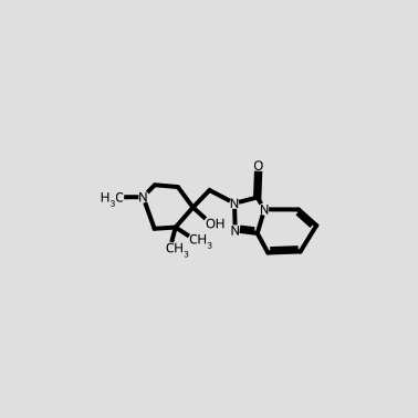 CN1CCC(O)(Cn2nc3ccccn3c2=O)C(C)(C)C1